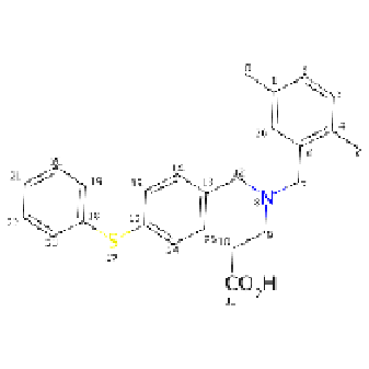 Cc1ccc(C)c(CN(CCC(=O)O)Cc2ccc(Sc3ccccc3)cc2)c1